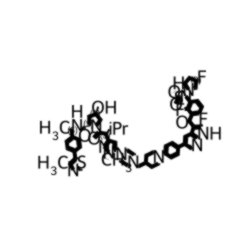 Cc1ncsc1-c1ccc([C@H](C)NC(=O)[C@@H]2C[C@@H](O)CN2C(=O)[C@H](c2cc(N3CCN(CC4CCN(c5ccc(-c6cnc7[nH]cc(C(=O)c8c(F)ccc(N(N9CC[C@@H](F)C9)[SH](=O)=O)c8F)c7c6)cc5)CC4)CC3)n(C)n2)C(C)C)cc1